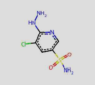 NNc1ncc(S(N)(=O)=O)cc1Cl